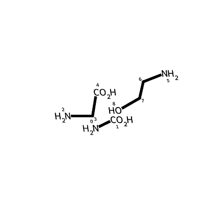 NC(=O)O.NCC(=O)O.NCCO